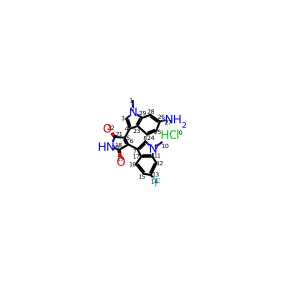 Cl.Cn1cc(C2=C(c3cn(C)c4cc(F)ccc34)C(=O)NC2=O)c2ccc(N)cc21